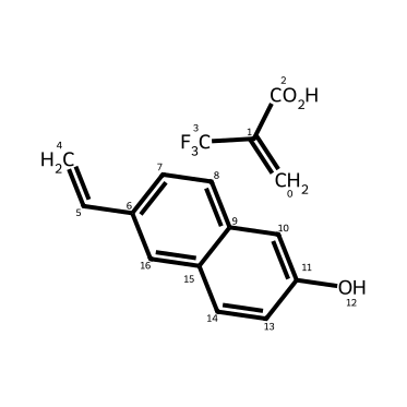 C=C(C(=O)O)C(F)(F)F.C=Cc1ccc2cc(O)ccc2c1